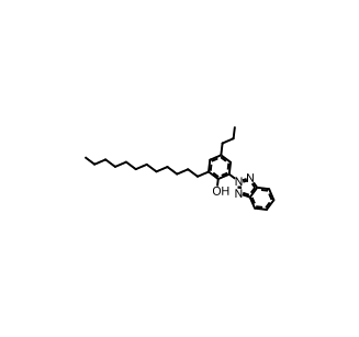 CCCCCCCCCCCCc1cc(CCC)cc(-n2nc3ccccc3n2)c1O